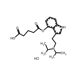 CC(C)N(CCc1c[nH]c2cccc(OC(=O)CCCC(=O)O)c12)C(C)C.Cl